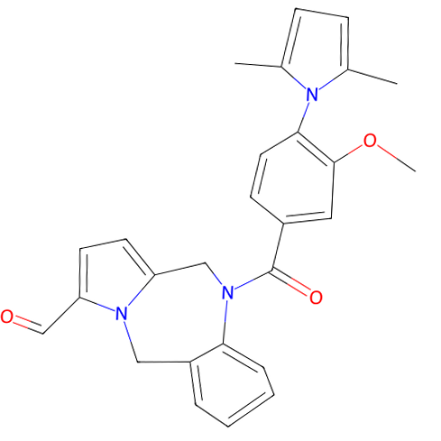 COc1cc(C(=O)N2Cc3ccc(C=O)n3Cc3ccccc32)ccc1-n1c(C)ccc1C